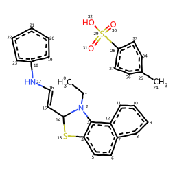 CCN1c2c(ccc3ccccc23)SC1C=CNc1ccccc1.Cc1ccc(S(=O)(=O)O)cc1